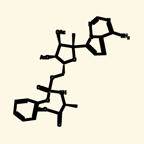 COC(=O)[C@H](C)NP(=O)(OC[C@H]1O[C@@](C)(c2ccc3c(N)ncnn23)[C@H](OC(C)=O)[C@@H]1OC(C)=O)Oc1ccccc1